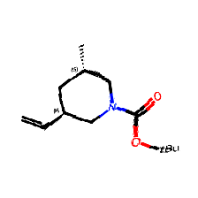 C=C[C@H]1C[C@H](C)CN(C(=O)OC(C)(C)C)C1